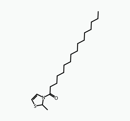 CCCCCCCCCCCCCCCC(=O)N1C=CSC1C